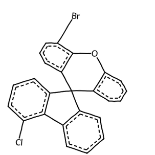 Clc1cccc2c1-c1ccccc1C21c2ccccc2Oc2c(Br)cccc21